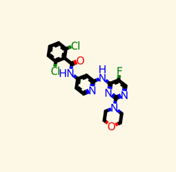 O=C(Nc1ccnc(Nc2nc(N3CCOCC3)ncc2F)c1)c1c(Cl)cccc1Cl